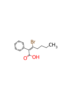 CCCCC(Br)=C(C(=O)O)c1ccccc1